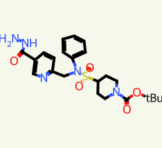 CC(C)(C)OC(=O)N1CCC(S(=O)(=O)N(Cc2ccc(C(=O)NN)cn2)c2ccccc2)CC1